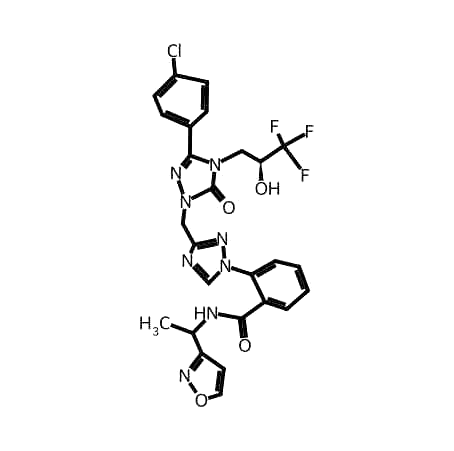 CC(NC(=O)c1ccccc1-n1cnc(Cn2nc(-c3ccc(Cl)cc3)n(C[C@H](O)C(F)(F)F)c2=O)n1)c1ccon1